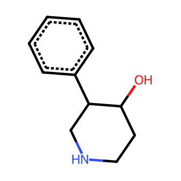 OC1CCNCC1c1ccccc1